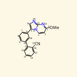 COc1ccn2c(-c3cccc(-c4ccccc4C#N)c3)cnc2n1